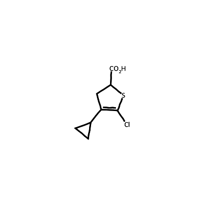 O=C(O)C1CC(C2CC2)=C(Cl)S1